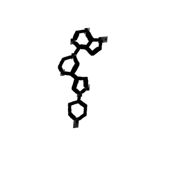 C1=C(c2cnn(C3CCNCC3)c2)SCCN1c1ncnc2[nH]ccc12